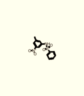 Cc1cc(NS(=O)(=O)c2ccccc2)cc([N+](=O)[O-])c1